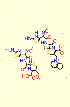 CO/N=C(\C(=O)N[C@@H]1C(=O)N2C(C(=O)[O-])=C(C[n+]3cccc4c3CCC4)CS[C@H]12)c1csc(=N)[nH]1.COCC1=C(C(=O)O)N2C(=O)[C@@H](NC(=O)/C(=N\OC)c3csc(N)n3)[C@H]2SC1